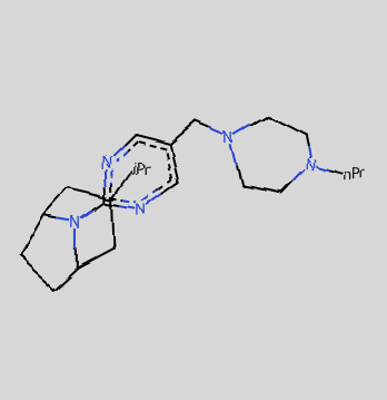 CCCN1CCN(Cc2cnc(N3C4CCC3CC(C(C)C)C4)nc2)CC1